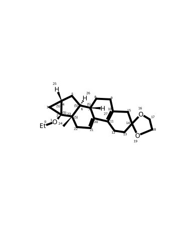 CCO[C@@]12C[C@@H]1C[C@H]1[C@@H]3CCC4=C(CCC5(C4)OCCO5)C3=CC[C@@]12C